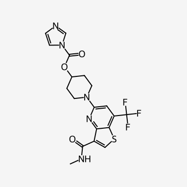 CNC(=O)c1csc2c(C(F)(F)F)cc(N3CCC(OC(=O)n4ccnc4)CC3)nc12